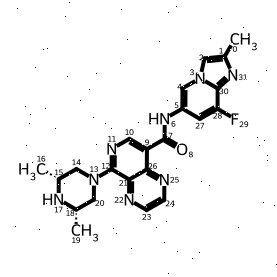 Cc1cn2cc(NC(=O)c3cnc(N4C[C@@H](C)N[C@@H](C)C4)c4nccnc34)cc(F)c2n1